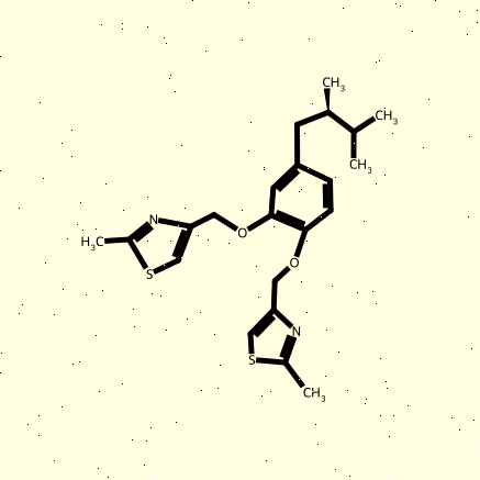 Cc1nc(COc2ccc(C[C@@H](C)C(C)C)cc2OCc2csc(C)n2)cs1